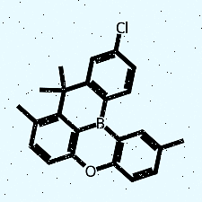 Cc1ccc2c(c1)B1c3ccc(Cl)cc3C(C)(C)c3c(C)ccc(c31)O2